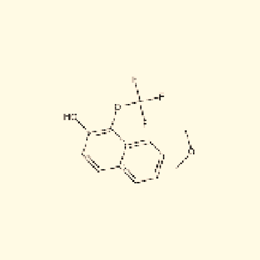 COC.Oc1ccc2ccccc2c1OC(F)(F)F